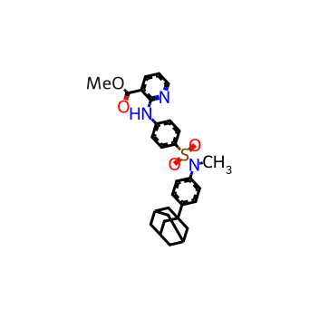 COC(=O)c1cccnc1Nc1ccc(S(=O)(=O)N(C)c2ccc(C34CC5CC(CC(C5)C3)C4)cc2)cc1